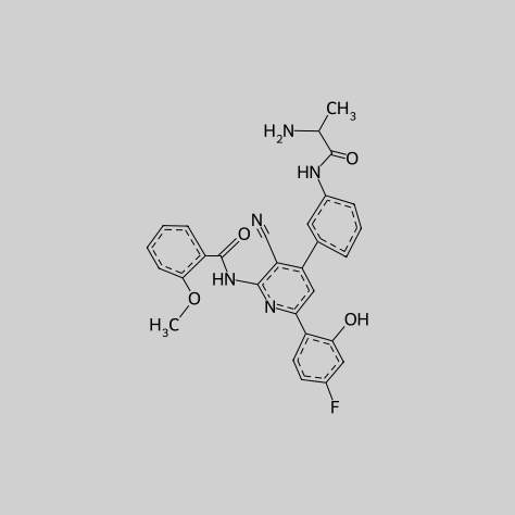 COc1ccccc1C(=O)Nc1nc(-c2ccc(F)cc2O)cc(-c2cccc(NC(=O)C(C)N)c2)c1C#N